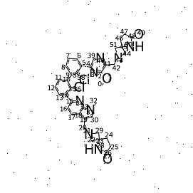 COc1nc(-c2cccc(-c3cccc(-c4ccc5c(CN6CC7(CCC(=O)N7)C6)cn(C)c5n4)c3Cl)c2Cl)cnc1CN1CC2(CCC(=O)N2)C1